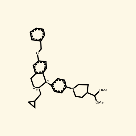 COC(OC)C1CCN(c2ccc([C@@H]3c4ccc(OCc5ccccc5)cc4CO[C@@H]3CC3CC3)cc2)CC1